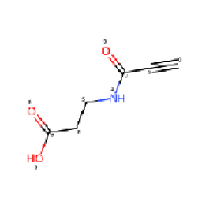 C#CC(=O)NCCC(=O)O